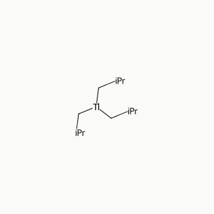 CC(C)[CH2][Tl]([CH2]C(C)C)[CH2]C(C)C